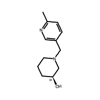 Cc1ccc(CN2CCC[C@H](O)C2)cn1